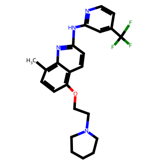 Cc1ccc(OCCN2CCCCC2)c2ccc(Nc3cc(C(F)(F)F)ccn3)nc12